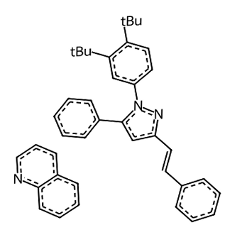 CC(C)(C)c1ccc(-n2nc(C=Cc3ccccc3)cc2-c2ccccc2)cc1C(C)(C)C.c1ccc2ncccc2c1